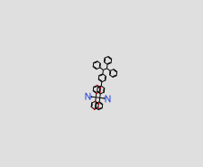 N#CC(c1ccccc1)(c1ccccc1)C(C#N)(c1ccccc1)c1ccc(-c2ccc(C(c3ccccc3)C(c3ccccc3)c3ccccc3)cc2)cc1